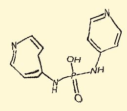 O=P(O)(Nc1ccncc1)Nc1ccncc1